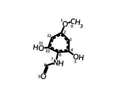 COc1cc(O)c(NC=O)c(O)c1